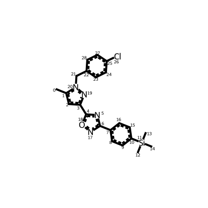 Cc1cc(-c2nc(-c3ccc([Si](C)(C)C)cc3)no2)nn1Cc1ccc(Cl)cc1